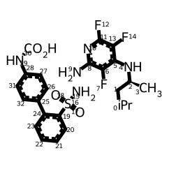 CC(C)C[C@H](C)Nc1c(F)c(N)nc(F)c1F.NS(=O)(=O)c1ccccc1-c1ccc(NC(=O)O)cc1